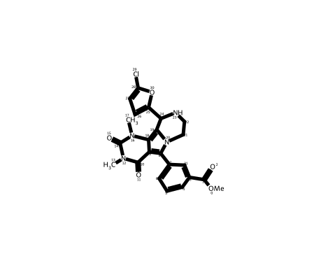 COC(=O)c1cccc(-c2c3c(=O)n(C)c(=O)n(C)c3c3n2CCNC3c2ccc(Cl)o2)c1